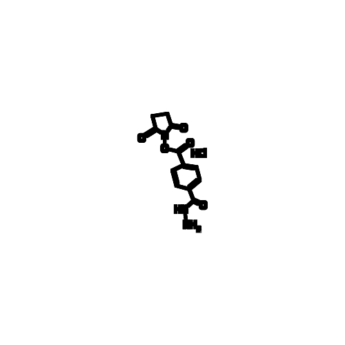 Cl.NNC(=O)c1ccc(C(=O)ON2C(=O)CCC2=O)cc1